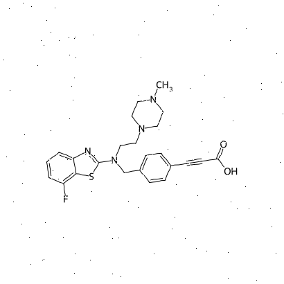 CN1CCN(CCN(Cc2ccc(C#CC(=O)O)cc2)c2nc3cccc(F)c3s2)CC1